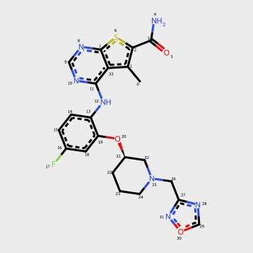 Cc1c(C(N)=O)sc2ncnc(Nc3ccc(F)cc3O[C@@H]3CCCN(Cc4ncon4)C3)c12